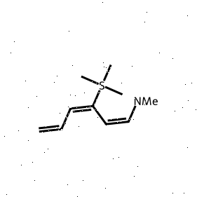 C=C/C=C(\C=C/NC)S(C)(C)C